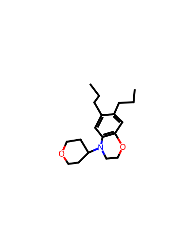 CCCc1cc2c(cc1CCC)N(C1CCOCC1)CCO2